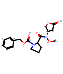 CCON(C(=O)C1CCCN1C(=O)OCc1ccccc1)[C@@H]1COC(=O)C1